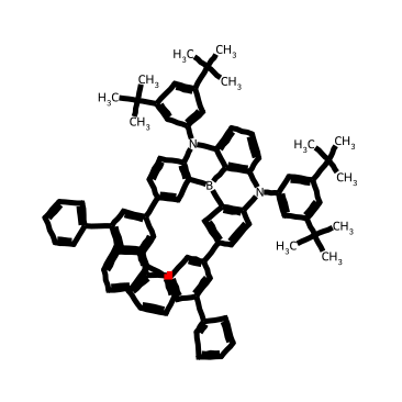 CC(C)(C)c1cc(N2c3ccc(-c4cc(-c5ccccc5)cc(-c5ccccc5)c4)cc3B3c4cc(-c5cc(-c6ccccc6)cc(-c6ccccc6)c5)ccc4N(c4cc(C(C)(C)C)cc(C(C)(C)C)c4)c4cccc2c43)cc(C(C)(C)C)c1